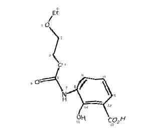 CCOCCOC(=O)Nc1cccc(C(=O)O)c1O